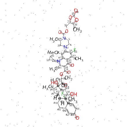 COc1c(N2CCN(C(=O)OCc3oc(=O)oc3C)C(C)C2)c(F)c(C)c2c(=O)c(C(=O)OC(C)(C)C(=O)[C@@]3(O)[C@H](C)C[C@H]4[C@@H]5CCC6=CC(=O)C=C[C@]6(C)[C@@]5(F)[C@@H](O)C[C@@]43C)c(C)n(C3CC3)c12